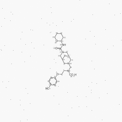 N#Cc1ccc(OCCN(CN2CC3CC(C2)CN(C(=O)NC2CCCCO2)C3)C(=O)O)cc1